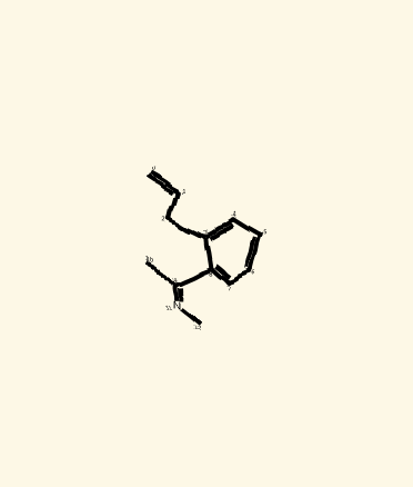 C=CCc1ccccc1/C(C)=N\C